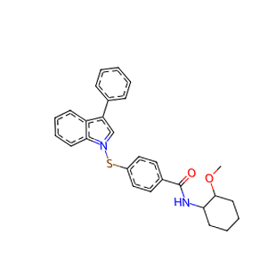 COC1CCCCC1NC(=O)c1ccc(Sn2cc(-c3ccccc3)c3ccccc32)cc1